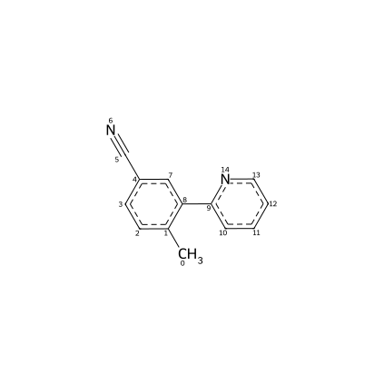 Cc1ccc(C#N)cc1-c1ccccn1